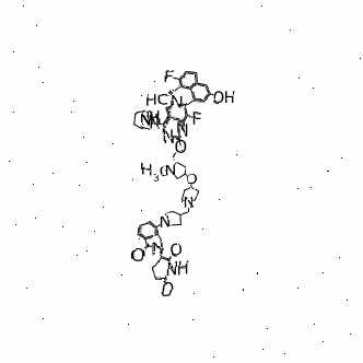 C#Cc1c(F)ccc2cc(O)cc(-c3ncc4c(N5CC6CCC(C5)N6)nc(OC[C@@H]5C[C@@H](OC6CCN(CC7CCN(c8cccc9c8CN(C8CCC(=O)NC8=O)C9=O)CC7)CC6)CN5C)nc4c3F)c12